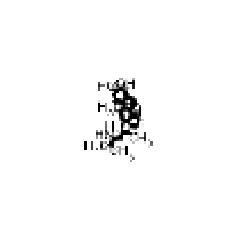 CC(C)[C@H](O)CCC(C)[C@H]1CC[C@H]2[C@@H]3CC=C4CC(O)(O)CC[C@]4(C)[C@H]3CC[C@]12C